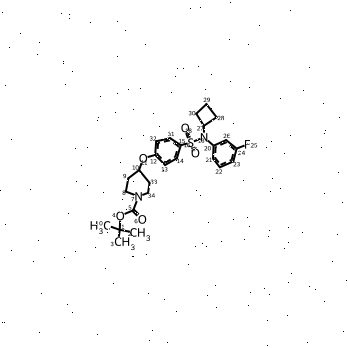 CC(C)(C)OC(=O)N1CCC(Oc2ccc(S(=O)(=O)N(c3cccc(F)c3)C3CCC3)cc2)CC1